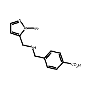 CC(C)n1nccc1CNCc1ccc(C(=O)O)cc1